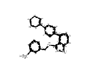 O=C(O)c1cccc(CNc2n[nH]c3cccc(-c4ccc(C5=CCCCC5)cc4)c23)c1